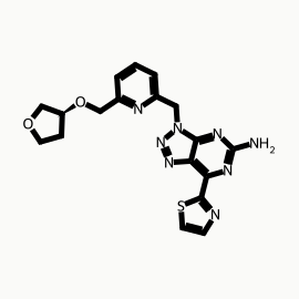 Nc1nc(-c2nccs2)c2nnn(Cc3cccc(CO[C@H]4CCOC4)n3)c2n1